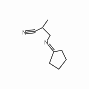 CC(C#N)CN=C1CCCC1